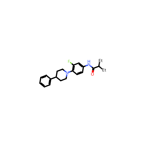 CCC(CC)C(=O)Nc1ccc(N2CCC(c3[c]cccc3)CC2)c(F)c1